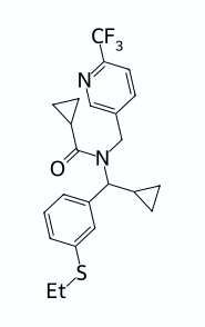 CCSc1cccc(C(C2CC2)N(Cc2ccc(C(F)(F)F)nc2)C(=O)C2CC2)c1